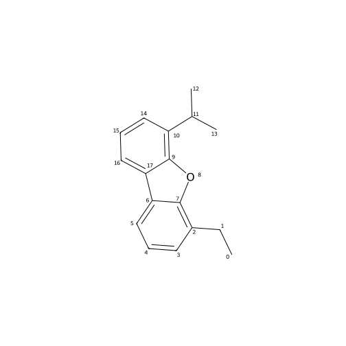 CCc1cccc2c1oc1c(C(C)C)cccc12